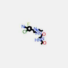 CC(=O)c1nc(C(=O)NC(C)Cn2ccc(-c3cc(F)c(C#N)c(Cl)c3)n2)c[nH]1